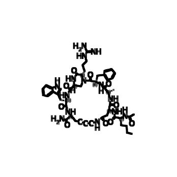 CCCC[C@H](NC(C)=O)C(=O)N[C@H]1CC(=O)NCCCC[C@@H](C(N)=O)NC(=O)[C@H](Cc2c[nH]c3ccccc23)NC(=O)[C@H]2CN(C(=O)[C@@H](Cc3ccccc3)NC(=O)[C@H](C)NC1=O)[C@@H](CCCNC(=N)N)C(=O)N2